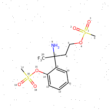 CS(=O)(=O)OCCC(N)(c1ccccc1OS(C)(=O)=O)C(F)(F)F